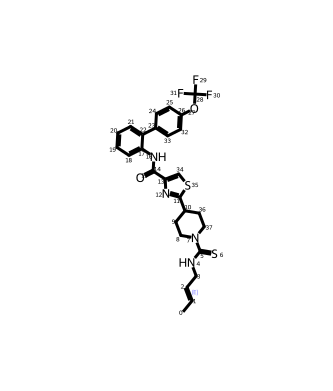 C/C=C/CNC(=S)N1CCC(c2nc(C(=O)Nc3ccccc3-c3ccc(OC(F)(F)F)cc3)cs2)CC1